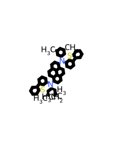 C=C(C)/C=C(\C=C(C)C)N(c1ccc2ccc3c(N(c4cc(C)cc(C)c4)c4cccc5c4sc4ccccc45)ccc4ccc1c2c43)c1cccc2c1sc1ccccc12